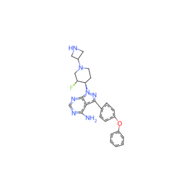 Nc1ncnc2c1c(-c1ccc(Oc3ccccc3)cc1)nn2[C@@H]1CCN(C2CNC2)C[C@@H]1F